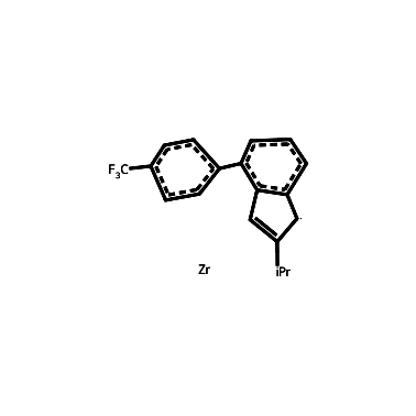 CC(C)C1=Cc2c(cccc2-c2ccc(C(F)(F)F)cc2)[CH]1.[Zr]